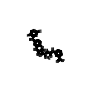 CN(CC(=O)Nc1cccc([N+](=O)[O-])c1)C(=O)C1(C)Oc2ccc(Nc3nc(Cl)ncc3F)cc2NC1=O